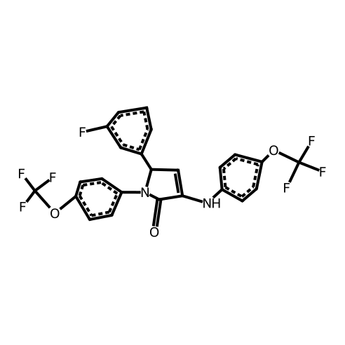 O=C1C(Nc2ccc(OC(F)(F)F)cc2)=CC(c2cccc(F)c2)N1c1ccc(OC(F)(F)F)cc1